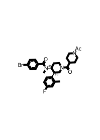 CC(=O)N1CCC(C(=O)N2CC[C@@H](N(C)C(=O)c3ccc(Br)cc3)[C@H](c3ccc(F)cc3C)C2)CC1